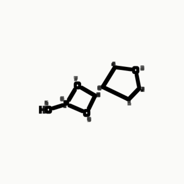 C1CCOC1.OP1OCO1